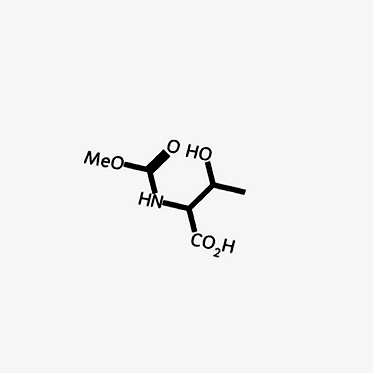 COC(=O)NC(C(=O)O)C(C)O